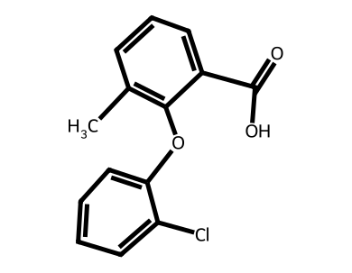 Cc1cccc(C(=O)O)c1Oc1ccccc1Cl